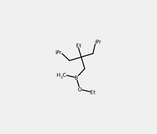 CCOB(C)CC(CC)(CC(C)C)CC(C)C